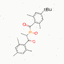 Cc1cc(C)c(C(=O)C(C)[P](=O)C(=O)c2c(C)cc(C(C)(C)C)cc2C)c(C)c1